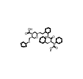 COC(=O)N(c1ccccc1)[C@@H](Cc1ccccc1)C(=O)Nc1ccccc1CC[C@@H]1CN(C(=O)O)[C@H](CSc2ccccc2)CO1